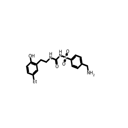 CCc1ccc(O)c(CCNC(=O)NS(=O)(=O)c2ccc(CN)cc2)c1